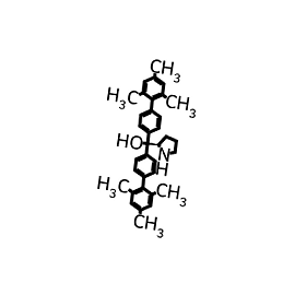 Cc1cc(C)c(-c2ccc(C(O)(c3ccc(-c4c(C)cc(C)cc4C)cc3)[C@H]3CCCN3)cc2)c(C)c1